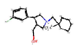 O=C(O)C1(CN2CC(CO)C(c3cccc(F)c3)C2)CCCCC1